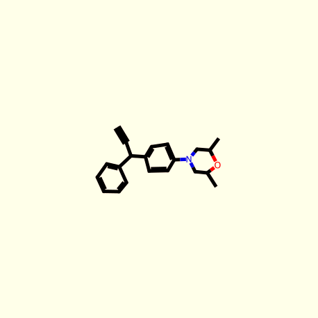 C#CC(c1ccccc1)c1ccc(N2CC(C)OC(C)C2)cc1